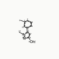 Cc1cccc(-c2cc(O)nn2C)c1